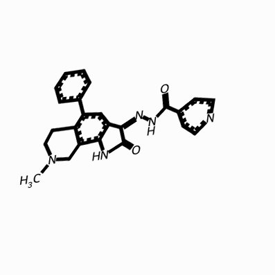 CN1CCc2c(-c3ccccc3)cc3c(c2C1)NC(=O)/C3=N\NC(=O)c1ccncc1